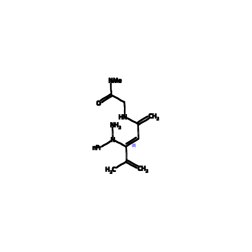 C=C(/C=C(/C(=C)C)N(N)CCC)NCC(=O)NC